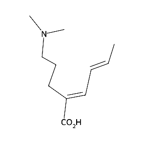 CC=CC=C(CCCN(C)C)C(=O)O